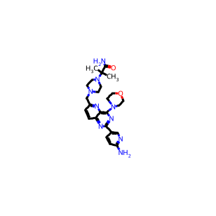 CC(C)(C(N)=O)N1CCN(Cc2ccc3nc(-c4ccc(N)nc4)nc(N4CCOCC4)c3n2)CC1